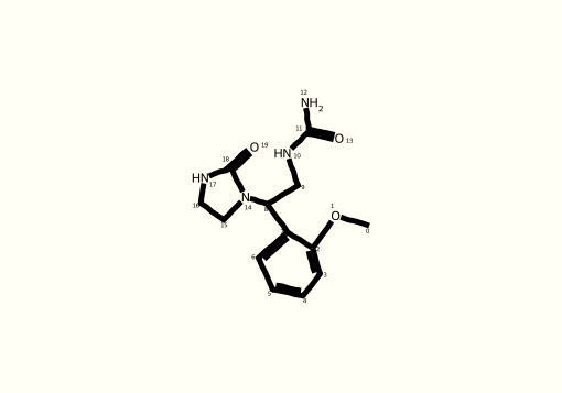 COc1ccccc1C(CNC(N)=O)N1CCNC1=O